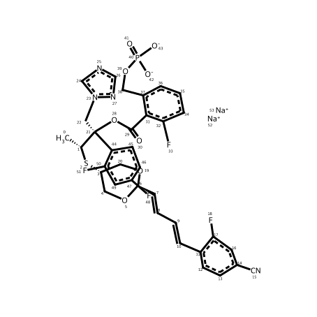 C[C@@H](S[C@H]1CO[C@H](C=CC=Cc2ccc(C#N)cc2F)OC1)[C@@](Cn1cncn1)(OC(=O)c1c(F)cccc1COP(=O)([O-])[O-])c1ccc(F)cc1F.[Na+].[Na+]